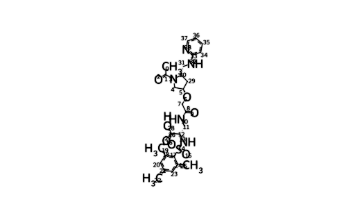 CC(=O)N1C[C@H](OCC(=O)NC[C@H](NS(=O)(=O)c2c(C)cc(C)cc2C)C(=O)O)C[C@H]1CNc1ccccn1